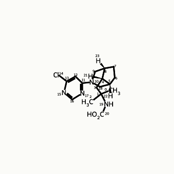 CC(C)(C[C@H]1[C@@H]2CC[C@H]1CN(c1cc(Cl)ncn1)C2)NC(=O)O